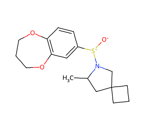 CC1CC2(CCC2)CN1[S+]([O-])c1ccc2c(c1)OCCCO2